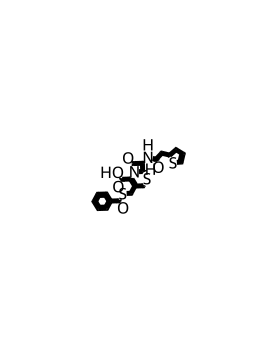 O=C(CC1CC=CS1)N[C@@H]1C(=O)N2C(C(=O)O)=C(CSC(=O)c3ccccc3)CS[C@H]12